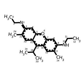 CC/N=c1/cc2oc3cc(NCC)c(C)cc3c(C(C)C)c-2cc1C